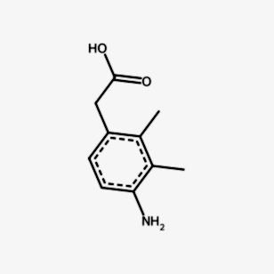 Cc1c(N)ccc(CC(=O)O)c1C